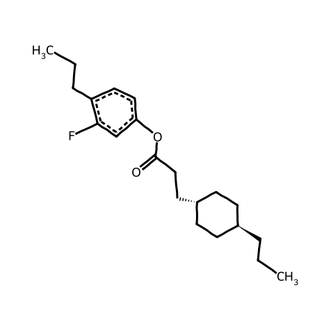 CCCc1ccc(OC(=O)CC[C@H]2CC[C@H](CCC)CC2)cc1F